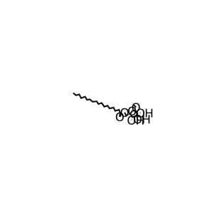 CCCCCCCCCCCCCCCCCC(=O)OC[C@H]1O[C@H](OC)[C@H](O)[C@@H](O)[C@@H]1O